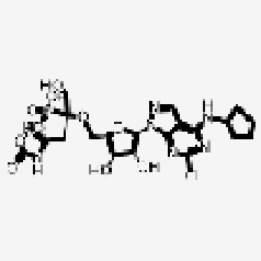 O=c1[nH]c(C[C@@](CO)(OC[C@H]2O[C@@H](n3ncc4c(NC5CCCC5)nc(Cl)nc43)[C@H](O)[C@@H]2O)P(=O)(O)O)no1